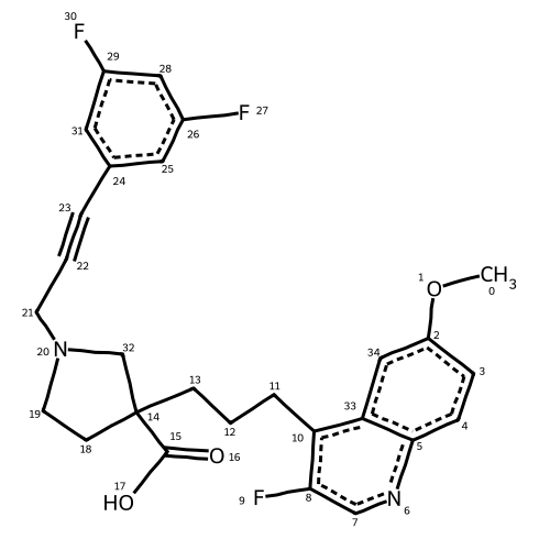 COc1ccc2ncc(F)c(CCCC3(C(=O)O)CCN(CC#Cc4cc(F)cc(F)c4)C3)c2c1